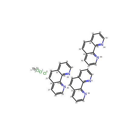 [Cl-].[Cl-].[Cl-].[Tb+3].c1cnc2c(c1)ccc1cccnc12.c1cnc2c(c1)ccc1cccnc12.c1cnc2c(c1)ccc1cccnc12